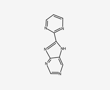 c1cnc(-c2nc3ncncc3[nH]2)nc1